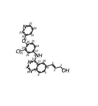 OCC=Cc1ccc2ncnc(Nc3ccc(Oc4cccnc4)c(Cl)c3)c2c1